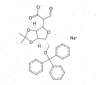 CC1(C)O[C@@H]2[C@@H](COC(c3ccccc3)(c3ccccc3)c3ccccc3)OC(C(C=O)C(=O)[O-])[C@@H]2O1.[Na+]